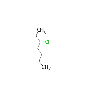 [CH2]CCCC(Cl)CC